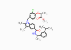 COC(=O)C(C)Oc1ccc(Cn2c(C)c(C)c3cc(C(=O)NC(C)c4cccc(C(C)C)c4)ccc32)cc1Cl